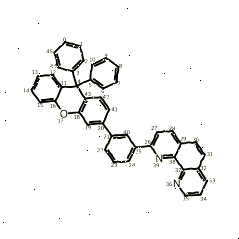 c1ccc(C2(c3ccccc3)c3ccccc3Oc3cc(-c4cccc(-c5ccc6ccc7cccnc7c6n5)c4)ccc32)cc1